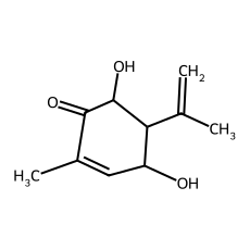 C=C(C)C1C(O)C=C(C)C(=O)C1O